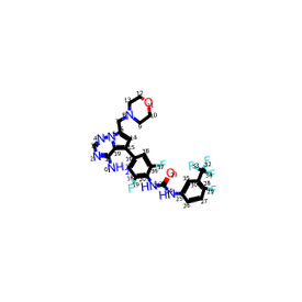 Nc1ncnn2c(CN3CCOCC3)cc(-c3cc(F)c(NC(=O)Nc4ccc(F)c(C(F)(F)F)c4)c(F)c3)c12